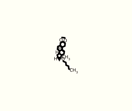 CCCCCCO[C@]12C[C@@H]1C[C@H]1[C@@H]3CCC4=C(CCC5(C4)OCCO5)C3=CC[C@@]12C